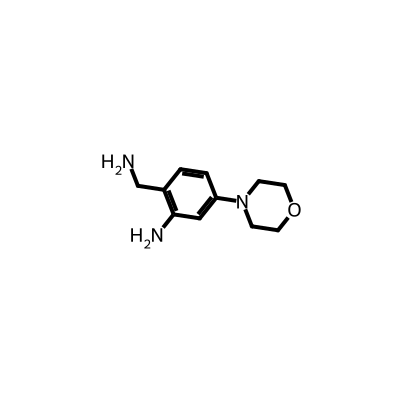 NCc1ccc(N2CCOCC2)cc1N